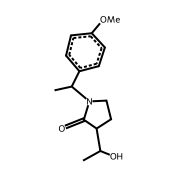 COc1ccc(C(C)N2CCC(C(C)O)C2=O)cc1